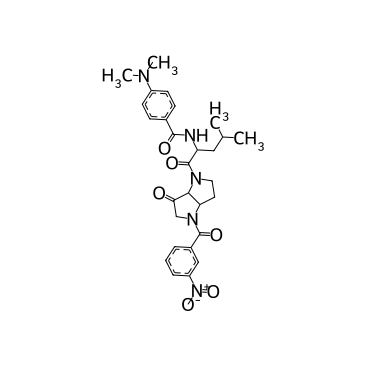 CC(C)CC(NC(=O)c1ccc(N(C)C)cc1)C(=O)N1CCC2C1C(=O)CN2C(=O)c1cccc([N+](=O)[O-])c1